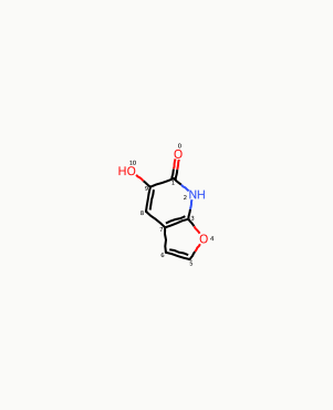 O=c1[nH]c2occc2cc1O